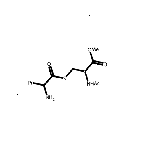 COC(=O)C(CSC(=O)C(N)C(C)C)NC(C)=O